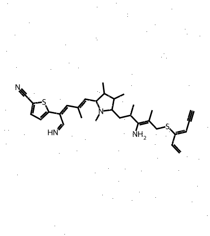 C#C/C=C(/C=C)SC/C(C)=C(\N)C(C)CC1C(C)C(C)C(/C=C(C)/C=C(\C=N)c2ccc(C#N)s2)N1C